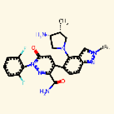 C[C@@H]1CN(c2c(-c3cc(=O)n(-c4c(F)cccc4F)nc3C(N)=O)ccc3nn(C(C)(C)C)cc23)C[C@@H]1N